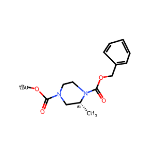 C[C@@H]1CN(C(=O)OC(C)(C)C)CCN1C(=O)OCc1ccccc1